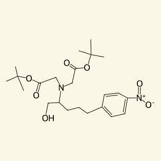 CC(C)(C)OC(=O)CN(CC(=O)OC(C)(C)C)C(CO)CCCc1ccc([N+](=O)[O-])cc1